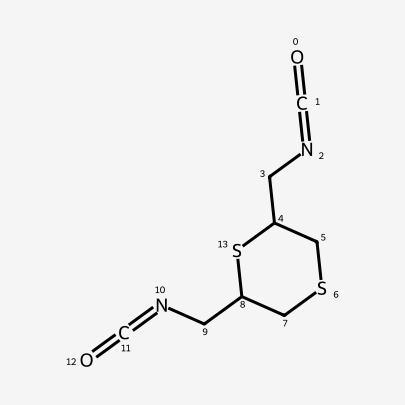 O=C=NCC1CSCC(CN=C=O)S1